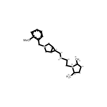 COc1ccccc1CN1CC2C(COCCN3C(C)CCC3C)C2C1